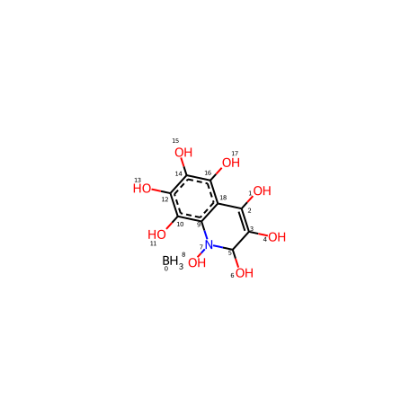 B.OC1=C(O)C(O)N(O)c2c(O)c(O)c(O)c(O)c21